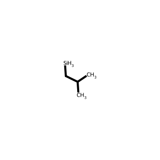 CC(C)C[SiH3]